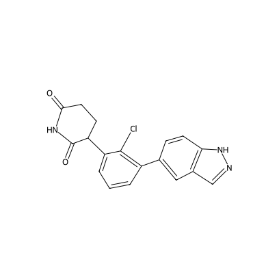 O=C1CCC(c2cccc(-c3ccc4[nH]ncc4c3)c2Cl)C(=O)N1